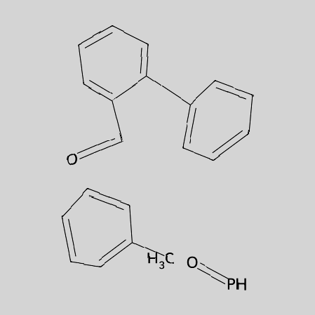 Cc1ccccc1.O=Cc1ccccc1-c1ccccc1.O=P